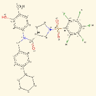 O=C(O)c1ccc(N(Cc2ccc(C3CCCCC3)cc2)C(=O)[C@@H]2CCN(S(=O)(=O)c3c(F)c(F)c(F)c(F)c3F)C2)cc1O